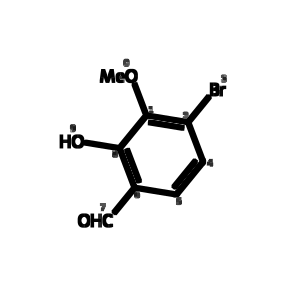 COc1c(Br)ccc(C=O)c1O